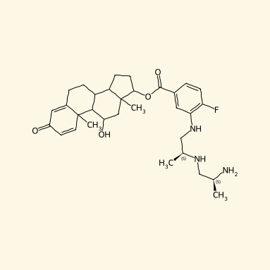 C[C@H](N)CN[C@@H](C)CNc1cc(C(=O)OC2CCC3C4CCC5=CC(=O)C=CC5(C)C4C(O)CC23C)ccc1F